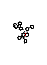 c1ccc(-c2ccc(N(c3ccc4c(c3)-c3ccccc3C43C4CC5CC(C4)CC3C5)c3ccc4c(c3)c3ccccc3n4-c3ccccc3)c(-c3ccccc3)c2)cc1